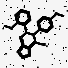 COc1ccc(N2C(N)=c3ccoc3=NC2c2ccccc2OC)cc1